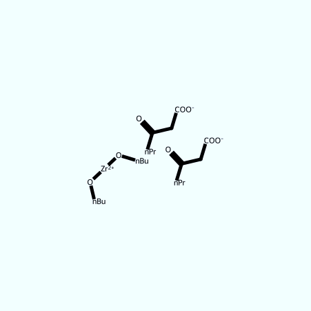 CCCC(=O)CC(=O)[O-].CCCC(=O)CC(=O)[O-].CCCC[O][Zr+2][O]CCCC